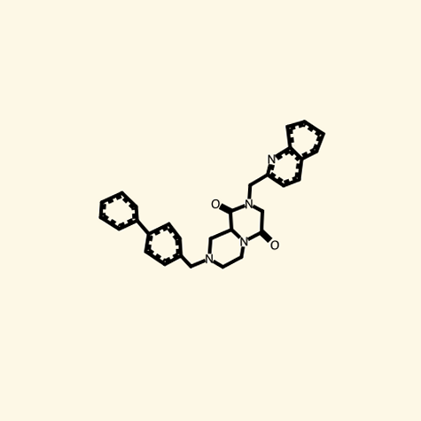 O=C1C2CN(Cc3ccc(-c4ccccc4)cc3)CCN2C(=O)CN1Cc1ccc2ccccc2n1